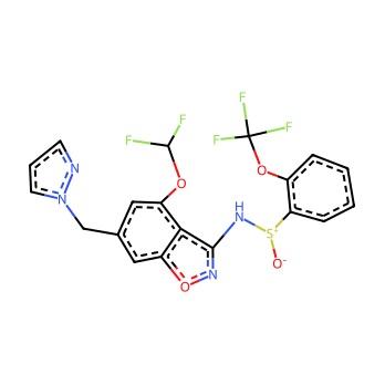 [O-][S+](Nc1noc2cc(Cn3cccn3)cc(OC(F)F)c12)c1ccccc1OC(F)(F)F